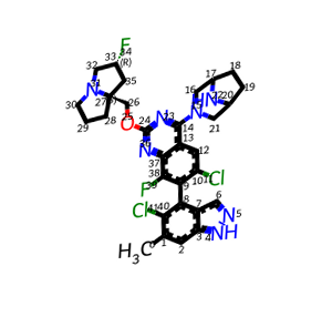 Cc1cc2[nH]ncc2c(-c2c(Cl)cc3c(N4CC5CCC(C4)N5)nc(OC[C@@]45CCCN4C[C@H](F)C5)nc3c2F)c1Cl